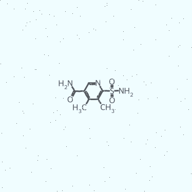 Cc1c(C(N)=O)cnc(S(N)(=O)=O)c1C